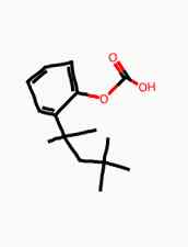 CC(C)(C)CC(C)(C)c1ccccc1OC(=O)O